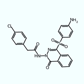 Nc1ccc(S(=O)(=O)c2nn(NC(=O)Cc3ccc(Cl)cc3)c(=O)c3ccccc23)cc1